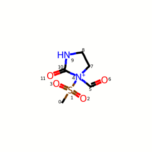 CS(=O)(=O)[N+]1([C]=O)CCNC1=O